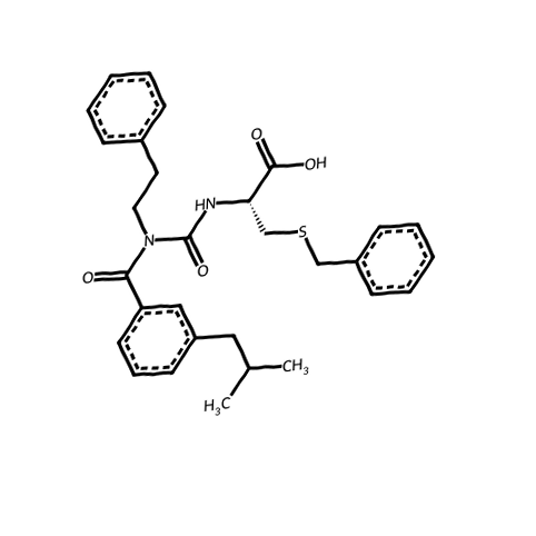 CC(C)Cc1cccc(C(=O)N(CCc2ccccc2)C(=O)N[C@@H](CSCc2ccccc2)C(=O)O)c1